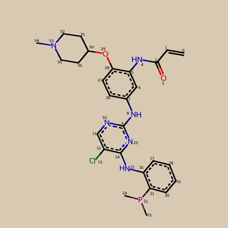 C=CC(=O)Nc1cc(Nc2ncc(Cl)c(Nc3ccccc3P(C)C)n2)ccc1OC1CCN(C)CC1